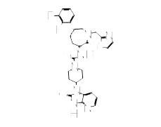 O=C(N[C@@H]1CC[C@@H](c2cccc(F)c2F)CN(Cc2nccs2)C1=O)N1CCC(n2c(=O)[nH]c3ncccc32)CC1